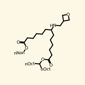 CCCCCCCCCOC(=O)CCCCCC(CCCCCC(=O)OC(CCCCCCCC)CCCCCCCC)NCC1COC1